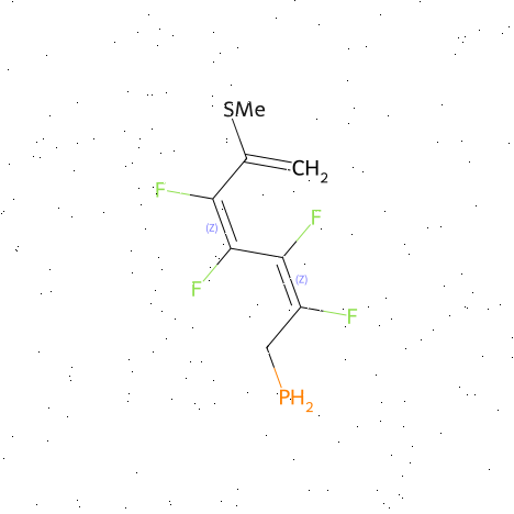 C=C(SC)/C(F)=C(F)\C(F)=C(\F)CP